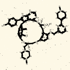 Cc1c2ccc(c1Cl)O[C@H](CN1CCN(C)CC1)COc1ccc(OCc3ccnc(C4=CCN(C)CC4)n3)c(c1)C[C@H](C(=O)O)Oc1ncnc3sc(-c4ccc(F)cc4)c-2c13